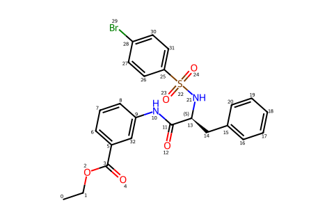 CCOC(=O)c1cccc(NC(=O)[C@H](Cc2ccccc2)NS(=O)(=O)c2ccc(Br)cc2)c1